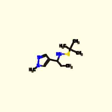 CCC(NSC(C)(C)C)c1cnn(C)c1